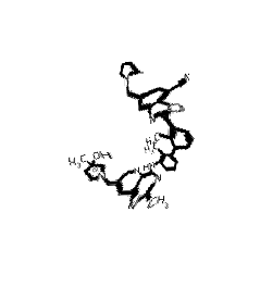 Cc1nc(Nc2cccc(-c3cccc(-c4nc5cc(CN6CCCC6)cc(C#N)c5o4)c3C)c2C)c2ncc(CN3CC[C@](C)(O)C3)cc2n1